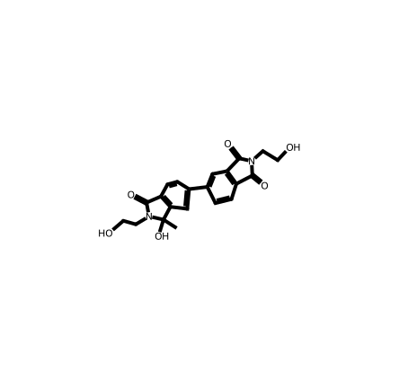 CC1(O)c2cc(-c3ccc4c(c3)C(=O)N(CCO)C4=O)ccc2C(=O)N1CCO